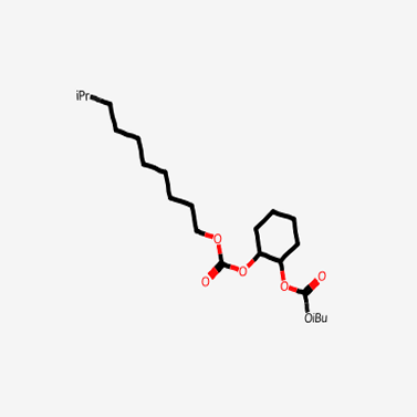 CC(C)CCCCCCCCOC(=O)OC1CCCCC1OC(=O)OCC(C)C